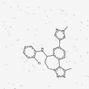 Cc1nnn2c1-c1ccc(-c3cnn(C)c3)cc1C(Nc1ccccc1Cl)CC2